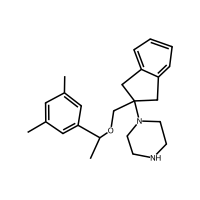 Cc1cc(C)cc(C(C)OCC2(N3CCNCC3)Cc3ccccc3C2)c1